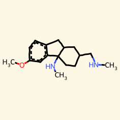 CNCC1CCC2(NC)c3cc(OC)ccc3CC2C1